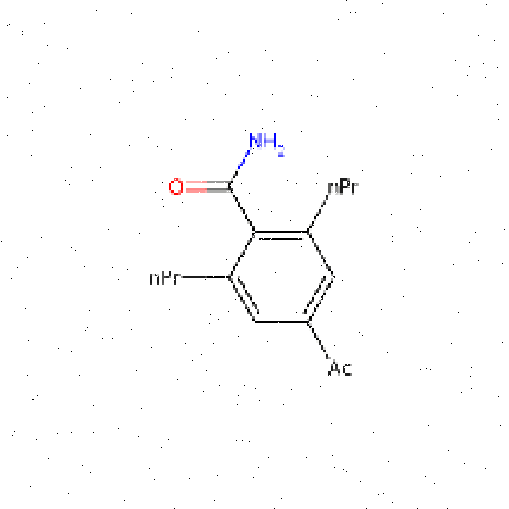 CCCc1cc(C(C)=O)cc(CCC)c1C(N)=O